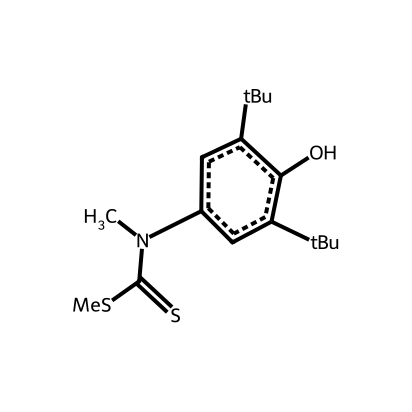 CSC(=S)N(C)c1cc(C(C)(C)C)c(O)c(C(C)(C)C)c1